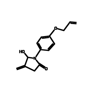 C=CCOc1ccc(N2C(=O)CC(=C)C2O)cc1